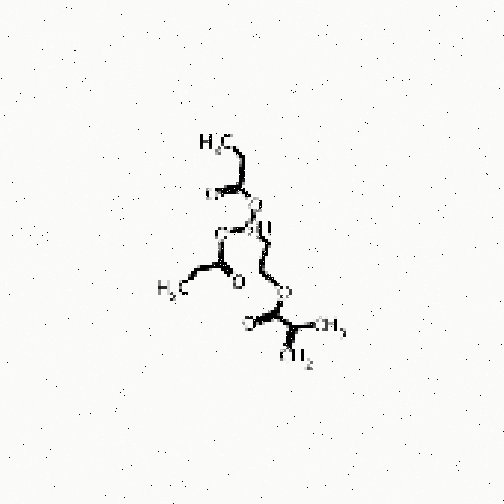 C=C(C)C(=O)OCC[SiH](OC(=O)CC)OC(=O)CC